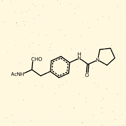 CC(=O)NC(C=O)Cc1ccc(NC(=O)N2CCCC2)cc1